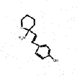 Oc1ccc(C=CC2([SiH3])CCCCO2)cc1